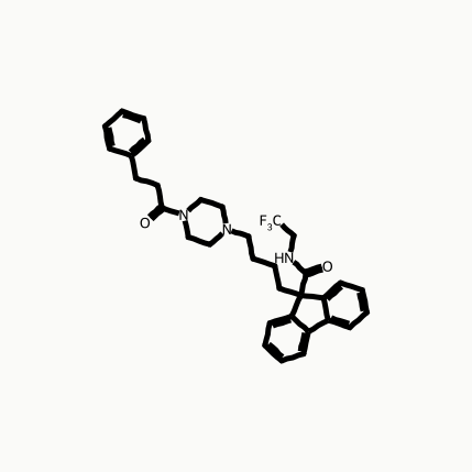 O=C(CCc1ccccc1)N1CCN(CCCCC2(C(=O)NCC(F)(F)F)c3ccccc3-c3ccccc32)CC1